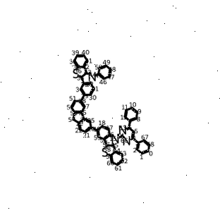 c1ccc(-c2cc(-c3ccccc3)nc(N3c4ccc(-c5ccc6c(c5)-c5cc(-c7ccc8c(c7)C7Sc9ccccc9C7N8c7ccccc7)ccc5C6)cc4C4Sc5ccccc5C43)n2)cc1